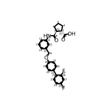 O=C(O)[C@H]1CCC[C@@H]1C(=O)Nc1cccc(COc2ccc(-c3ccc(F)cc3F)cc2)c1